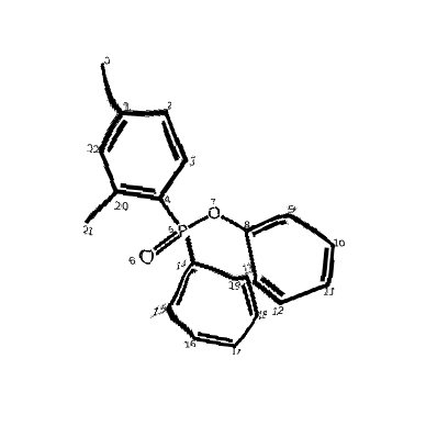 Cc1ccc(P(=O)(Oc2ccccc2)c2ccccc2)c(C)c1